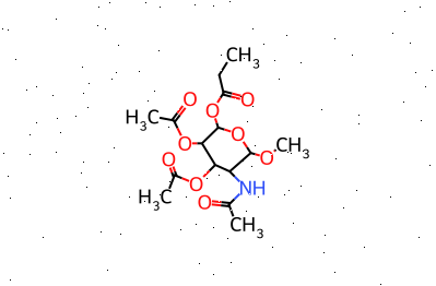 CCC(=O)OC1OC(OC)C(NC(C)=O)C(OC(C)=O)C1OC(C)=O